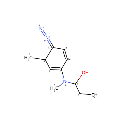 CCC(O)N(C)C1=CC(C)C(=[N+]=[N-])C=C1